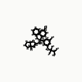 Fc1cc(OC(F)(F)C(F)F)cc([C@](Cc2ccccc2)(NC2=N[C@@H]3CCCC3O2)c2ccc(Cl)cn2)c1